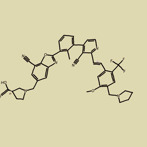 COc1cc(/C=C/c2nccc(-c3cccc(-c4nc5cc(CN6CC[C@@H](C(=O)O)C6)cc(C#N)c5o4)c3C)c2C#N)c(C(F)(F)F)cc1CN1CCCC1